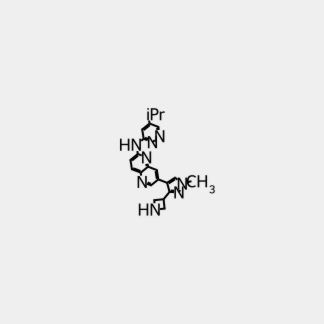 CC(C)c1cnnc(Nc2ccc3ncc(-c4cn(C)nc4C4CNC4)cc3n2)c1